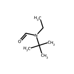 CCN([C]=O)C(C)(C)C